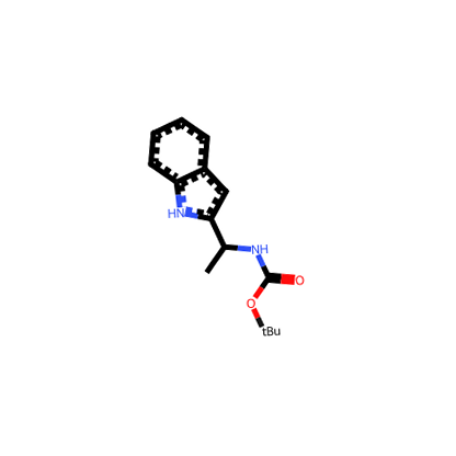 CC(NC(=O)OC(C)(C)C)c1cc2ccccc2[nH]1